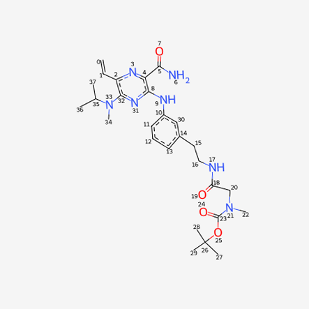 C=Cc1nc(C(N)=O)c(Nc2cccc(CCNC(=O)CN(C)C(=O)OC(C)(C)C)c2)nc1N(C)C(C)C